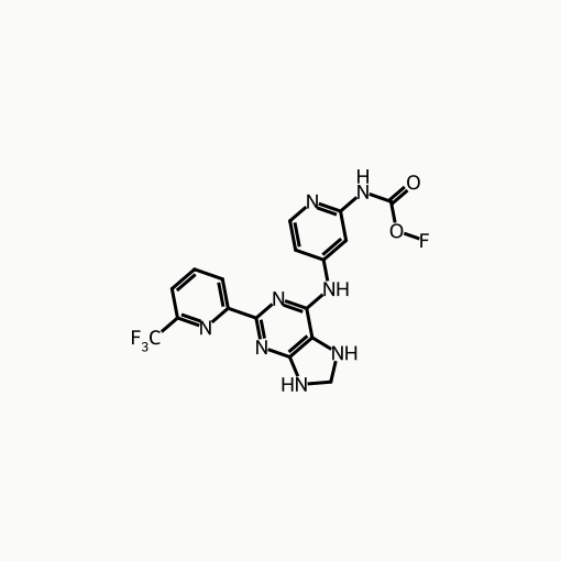 O=C(Nc1cc(Nc2nc(-c3cccc(C(F)(F)F)n3)nc3c2NCN3)ccn1)OF